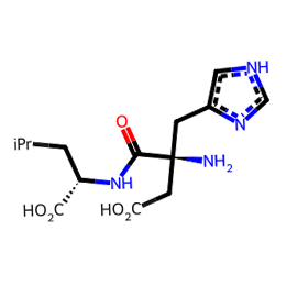 CC(C)C[C@H](NC(=O)[C@@](N)(CC(=O)O)Cc1c[nH]cn1)C(=O)O